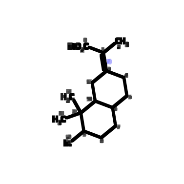 CCOC(=O)/C(C)=C1/CCC2CCC(CC)C(C)(C)C2C1